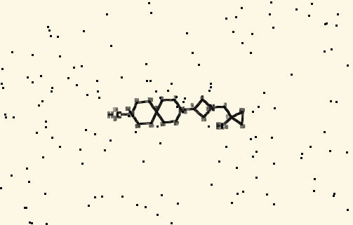 CCC1(CN2CC(N3CCC4(CCN(C)CC4)CC3)C2)CC1